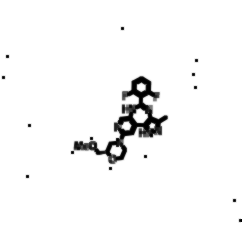 COC[C@H]1CN(c2cc3c(cn2)NC(c2c(F)cccc2F)=Nc2c(C)n[nH]c2-3)CCO1